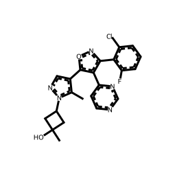 Cc1c(-c2onc(-c3c(F)cccc3Cl)c2-c2ccncn2)cnn1C1CC(C)(O)C1